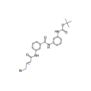 CC(C)(C)OC(=O)Nc1cccc(NC(=O)c2cccc(NC(=O)/C=C/CBr)c2)c1